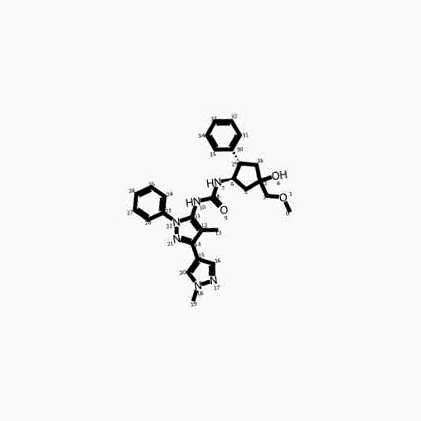 COCC1(O)C[C@@H](NC(=O)Nc2c(C)c(-c3cnn(C)c3)nn2-c2ccccc2)[C@H](c2ccccc2)C1